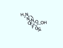 C[Si](C)(C)OC1C(CO)OC(n2ccc(N)nc2=O)C1(F)F